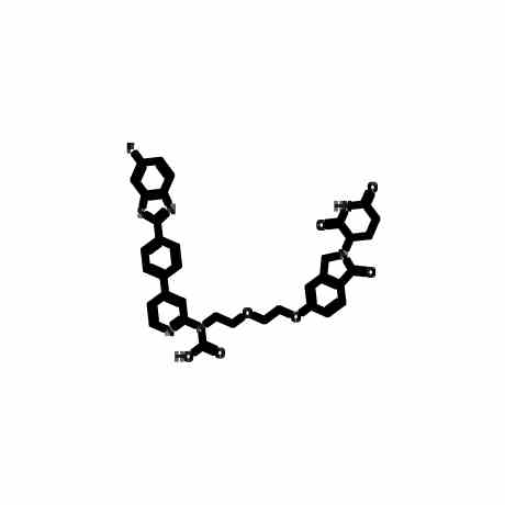 O=C1CCC(N2Cc3cc(OCCOCCN(C(=O)O)c4cc(-c5ccc(-c6nc7ccc(F)cc7s6)cc5)ccn4)ccc3C2=O)C(=O)N1